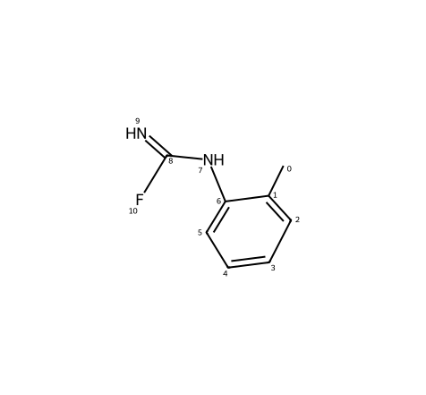 Cc1ccccc1NC(=N)F